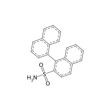 NS(=O)(=O)c1ccc2ccccc2c1-c1cccc2ccccc12